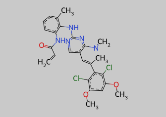 C=CC(=O)Nc1cccc(C)c1Nc1ncc(/C=C(\C)c2c(Cl)c(OC)cc(OC)c2Cl)c(N=C)n1